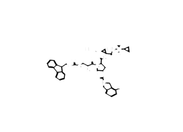 C=C[C@@H]1C[C@]1(NC(=O)C1C[C@@H](OC(=O)N2Cc3cccc(F)c3C2)CN1C(=O)[C@@H](N)CNC(=O)OCC1c2ccccc2-c2ccccc21)C(=O)NS(=O)(=O)C1CC1